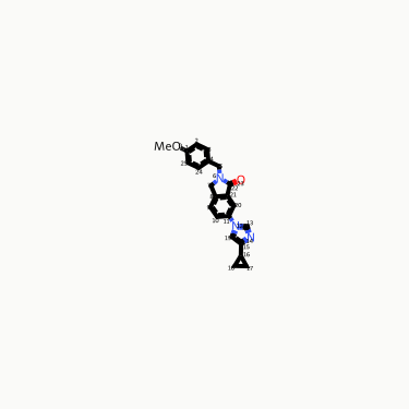 COc1ccc(CN2Cc3ccc(-n4cnc(C5CC5)c4)cc3C2=O)cc1